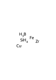 B.[Cu].[Fe].[SiH4].[Zr]